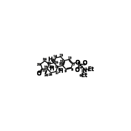 CCN(CC)S(=O)(=O)Oc1ccc2c(c1)CC[C@@H]1[C@@H]2CC[C@]2(C)C(=O)CC[C@@H]12